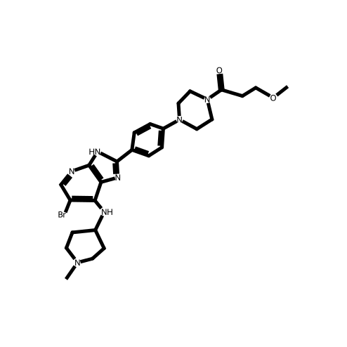 COCCC(=O)N1CCN(c2ccc(-c3nc4c(NC5CCN(C)CC5)c(Br)cnc4[nH]3)cc2)CC1